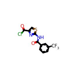 O=C(Nc1nc(C(=O)Cl)cs1)c1cccc(C(F)(F)F)c1